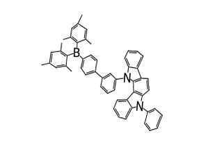 Cc1cc(C)c(B(c2ccc(-c3cccc(-n4c5ccccc5c5ccc6c(c7ccccc7n6-c6ccccc6)c54)c3)cc2)c2c(C)cc(C)cc2C)c(C)c1